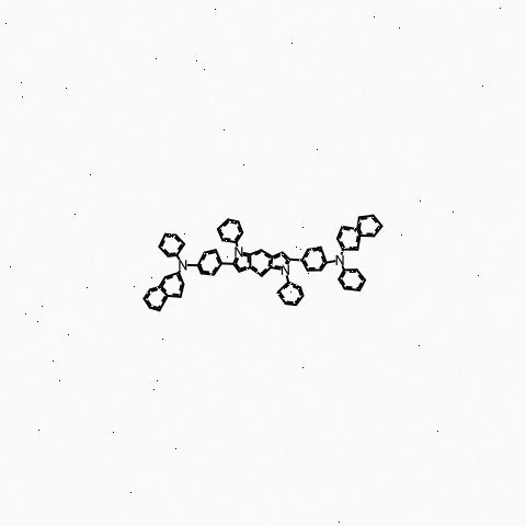 c1ccc(N(c2ccc(-c3cc4cc5c(cc(-c6ccc(N(c7ccccc7)c7ccc8ccccc8c7)cc6)n5-c5ccccc5)cc4n3-c3ccccc3)cc2)c2ccc3ccccc3c2)cc1